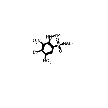 CCCNc1c(S(=O)(=O)NC)cc([N+](=O)[O-])c(CC)c1[N+](=O)[O-]